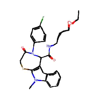 CCOCCCNC(=O)C1c2c(n(C)c3ccccc23)SCC(=O)N1c1ccc(F)cc1